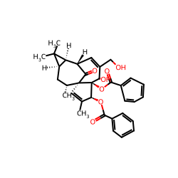 CC1=C[C@]23C(=O)[C@@H](C=C(CO)[C@@H](O)[C@]2(OC(=O)c2ccccc2)[C@H]1OC(=O)c1ccccc1)[C@H]1[C@@H](C[C@H]3C)C1(C)C